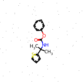 CC(C)(NC(=O)Oc1ccccc1)c1cccs1